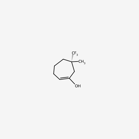 C[C@]1(C(F)(F)F)CCCC=C(O)C1